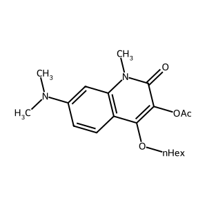 CCCCCCOc1c(OC(C)=O)c(=O)n(C)c2cc(N(C)C)ccc12